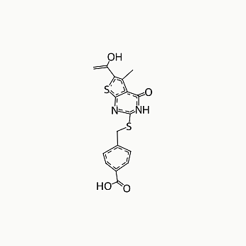 C=C(O)c1sc2nc(SCc3ccc(C(=O)O)cc3)[nH]c(=O)c2c1C